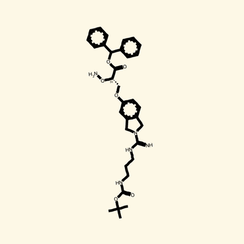 CC(C)(C)OC(=O)NCCCNC(=N)N1Cc2ccc(OC[C@H](ON)C(=O)OC(c3ccccc3)c3ccccc3)cc2C1